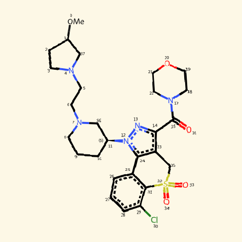 COC1CCN(CCN2CCC[C@H](n3nc(C(=O)N4CCOCC4)c4c3-c3cccc(Cl)c3S(=O)(=O)C4)C2)C1